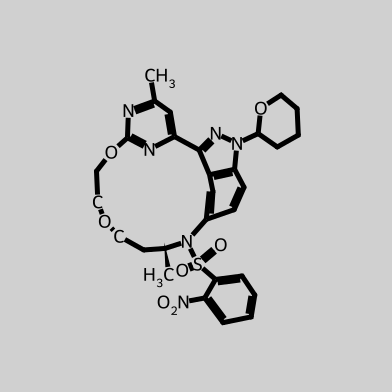 Cc1cc2nc(n1)OCCOCC[C@H](C)N(S(=O)(=O)c1ccccc1[N+](=O)[O-])c1ccc3c(c1)c-2nn3C1CCCCO1